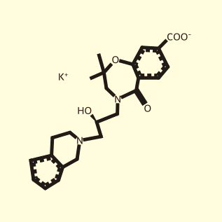 CC1(C)CN(C[C@H](O)CN2CCc3ccccc3C2)C(=O)c2ccc(C(=O)[O-])cc2O1.[K+]